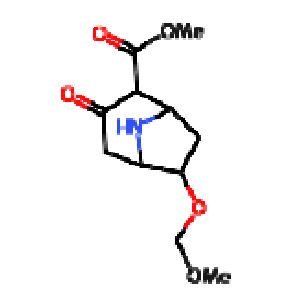 COCOC1CC2NC1CC(=O)C2C(=O)OC